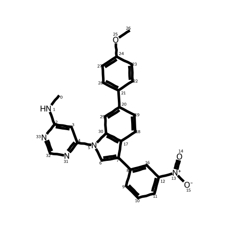 CNc1cc(-n2cc(-c3cccc([N+](=O)[O-])c3)c3ccc(-c4ccc(OC)cc4)cc32)ncn1